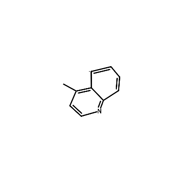 Cc1ccnc2ccc[c]c12